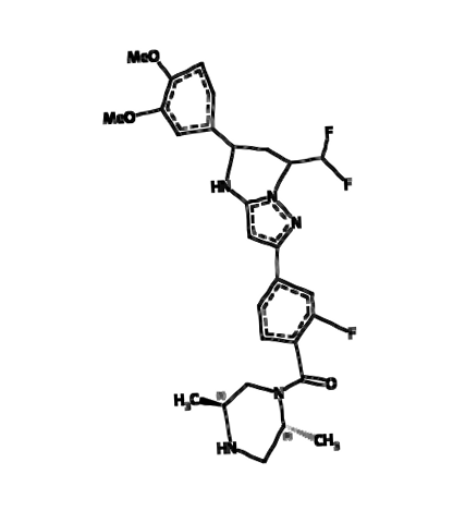 COc1ccc(C2CC(C(F)F)n3nc(-c4ccc(C(=O)N5C[C@H](C)NC[C@H]5C)c(F)c4)cc3N2)cc1OC